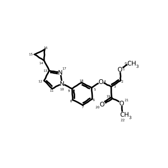 CO/C=C(\Oc1cccc(-n2ccc(C3CC3)n2)c1)C(=O)OC